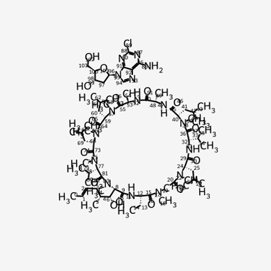 C/C=C/C[C@@H](C)[C@@H](O)[C@H]1C(=O)N[C@@H](CC)C(=O)N(C)CC(=O)N(C)[C@@H](CC(C)C)C(=O)N[C@@H](C(C)C)C(=O)N(C)[C@@H](CC(C)C)C(=O)N[C@@H](C)C(=O)N[C@H](C)C(=O)N(C)[C@@H](CC(C)C)C(=O)N(C)[C@@H](CC(C)C)C(=O)N(C)[C@@H](C(C)C)C(=O)N1C.Nc1nc(Cl)nc2c1ncn2[C@H]1C[C@H](O)[C@@H](CO)O1